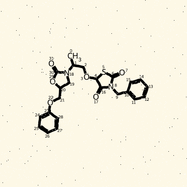 CC(COC1SC(=O)N(Cc2ccccc2)C1=O)N1CC(COc2ccccc2)OC1=O